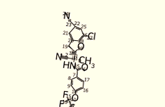 C[C@@](C#N)(NC(=O)c1ccc(OC(F)(F)F)cc1)[C@H]1Cc2cc(C#N)cc(Cl)c2O1